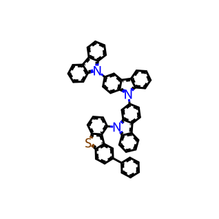 c1ccc(-c2ccc3sc4cccc(-n5c6ccccc6c6ccc(-n7c8ccccc8c8cc(-n9c%10ccccc%10c%10ccccc%109)ccc87)cc65)c4c3c2)cc1